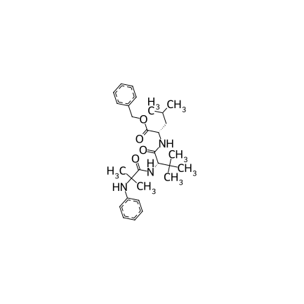 CC(C)C[C@H](NC(=O)[C@@H](NC(=O)C(C)(C)Nc1ccccc1)C(C)(C)C)C(=O)OCc1ccccc1